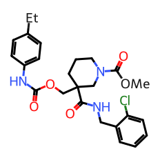 CCc1ccc(NC(=O)OCC2(C(=O)NCc3ccccc3Cl)CCCN(C(=O)OC)C2)cc1